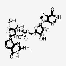 Nc1nc2c(ncn2[C@@H]2O[C@H](CO)[C@@H](O)[C@H]2OP(=O)(O)OC[C@H]2O[C@@H](n3cnc4c(=O)[nH]cnc43)[C@H](F)[C@@H]2O)c(=O)[nH]1